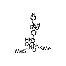 CSCCn1c(=O)c2[nH]c(-c3ccc(S(=O)(=O)NCc4ccncc4)cc3)cc2n(CCSC)c1=O